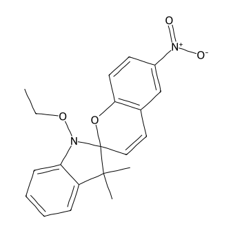 CCON1c2ccccc2C(C)(C)C12C=Cc1cc([N+](=O)[O-])ccc1O2